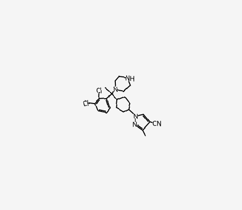 Cc1nn(C2CCC(C(C)(c3cccc(Cl)c3Cl)N3CCNCC3)CC2)cc1C#N